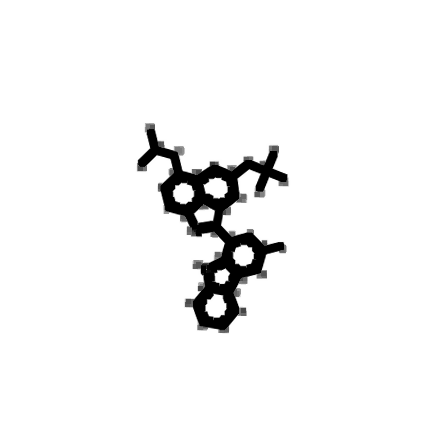 Cc1cc(C2=Nc3ccc(CC(C)C)c4cc(CC(C)(C)C)cc2c34)c2oc3ccccc3c2c1